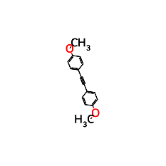 COc1ccc(C#Cc2ccc(OC)cc2)cc1